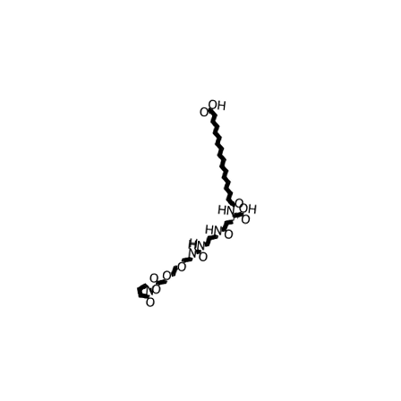 O=C(O)CCCCCCCCCCCCCCCCC(=O)N[C@@H](CCC(=O)NCCCNC(=O)NCCOCCOCC(=O)ON1CCCC1=O)C(=O)O